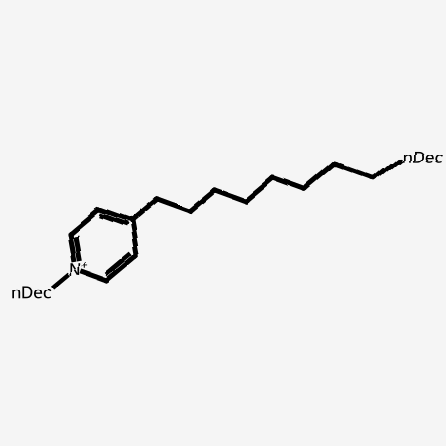 CCCCCCCCCCCCCCCCCCc1cc[n+](CCCCCCCCCC)cc1